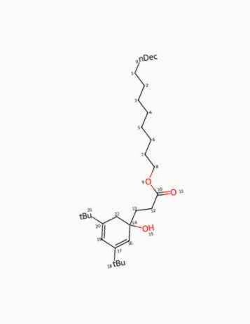 CCCCCCCCCCCCCCCCCCOC(=O)CCC1(O)C=C(C(C)(C)C)C=C(C(C)(C)C)C1